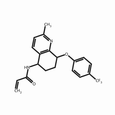 C=CC(=O)NC1CCC(Oc2ccc(C(F)(F)F)cc2)c2nc(C)ccc21